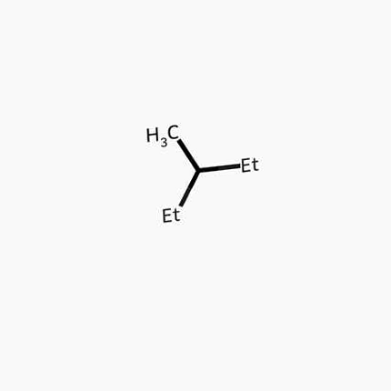 [C]CC(C)CC